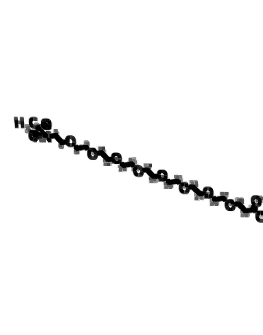 CS(=O)(=O)NCCOCCOCCOCCOCCOCCOCCOCCOCCC(=O)O